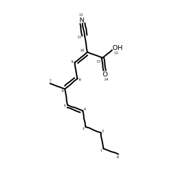 CCCCC=CC(C)=CC=C(C#N)C(=O)O